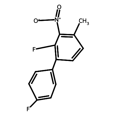 Cc1ccc(-c2ccc(F)cc2)c(F)c1[N+](=O)[O-]